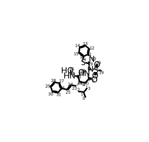 CC(C)C[C@@H](C(=O)NN(c1nc2ccccc2s1)S(C)(=O)=O)[C@H](CC=Cc1ccccc1)C(=O)NO